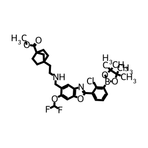 COC(=O)C12CCC(CCNCc3cc4nc(-c5cccc(B6OC(C)(C)C(C)(C)O6)c5Cl)oc4cc3OC(F)F)(CC1)C2